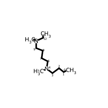 CCCCN(C)CCCCN(C)CC